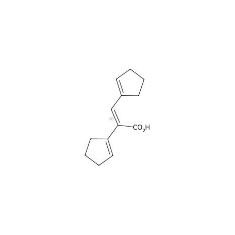 O=C(O)/C(=C\C1=CCCC1)C1=CCCC1